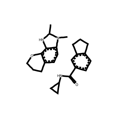 CC1Nc2c(ccc3c2OCCC3)N1C.O=C(NC1CC1)c1ccc2c(c1)CCC2